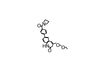 CCOCOCC1=Cc2cc(-c3ccc(C(=O)N4CCCC4)cc3)ccc2NC(=O)C1